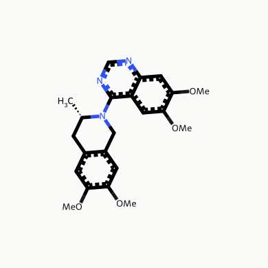 COc1cc2c(cc1OC)CN(c1ncnc3cc(OC)c(OC)cc13)[C@@H](C)C2